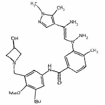 COc1c(CN2CC(O)C2)cc(NC(=O)c2ccc(C)c(N(N)/C=C(\N)c3cnn(C)c3C)c2)cc1C(C)(C)C